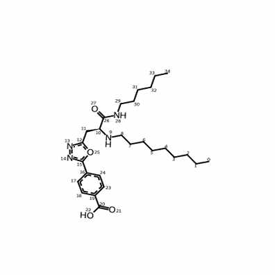 CCCCCCCCCN[C@@H](Cc1nnc(-c2ccc(C(=O)O)cc2)o1)C(=O)NCCCCCC